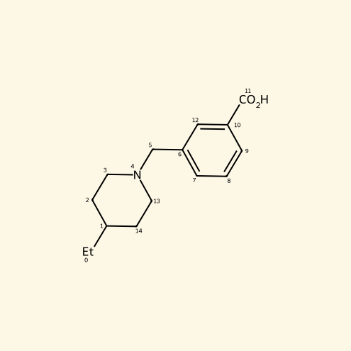 CCC1CCN(Cc2cccc(C(=O)O)c2)CC1